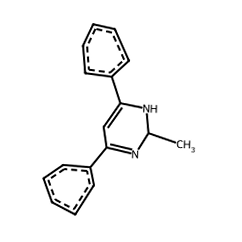 CC1N=C(c2ccccc2)C=C(c2ccccc2)N1